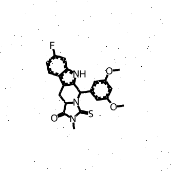 COc1cc(OC)cc(C2c3[nH]c4cc(F)ccc4c3CC3C(=O)N(C)C(=S)N32)c1